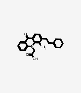 Cc1c(CCC2=CCCCC2)ccc2c(=O)c3ccccc3n(CC(=O)O)c12